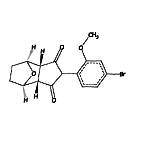 COc1cc(Br)ccc1C1C(=O)[C@@H]2[C@H](C1=O)[C@H]1CC[C@@H]2O1